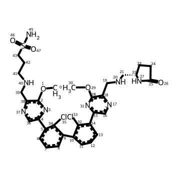 COc1nc(-c2cccc(-c3cccc(-c4cnc(CNC[C@@H]5CCC(=O)N5)c(OC)n4)c3Cl)c2Cl)cnc1CNCCCS(N)(=O)=O